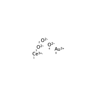 [Au+3].[Ce+3].[O-2].[O-2].[O-2]